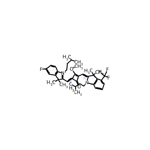 COC1=C(/C=C2\N(CCC(C)C)c3cccc(C(F)(F)F)c3C2(C)C)C(=O)/C1=C/C1=[N+](CCC(C)C)c2ccc(F)cc2C1(C)C